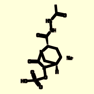 CC(=O)NNC(=O)[C@@H]1CC[C@@H]2CN1C(=O)N2OS(=O)(=O)O.[Na]